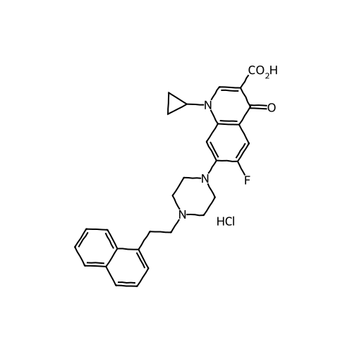 Cl.O=C(O)c1cn(C2CC2)c2cc(N3CCN(CCc4cccc5ccccc45)CC3)c(F)cc2c1=O